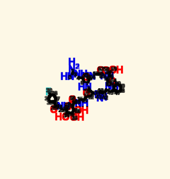 N=C(N)NCCC[C@@H]1NC(=O)[C@H](CCCCNC(=O)C2O[C@H](CNC(=O)c3ccc(F)cc3)[C@H](O)C(O)[C@@H]2O)n2cc(nn2)[C@H](Cc2ccccc2)NC(=O)[C@H](CC(=O)O)NC(=O)CNC1=O